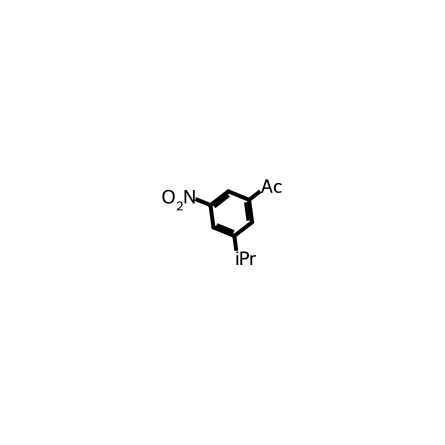 CC(=O)c1cc(C(C)C)cc([N+](=O)[O-])c1